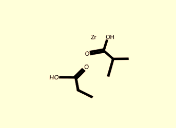 CC(C)C(=O)O.CCC(=O)O.[Zr]